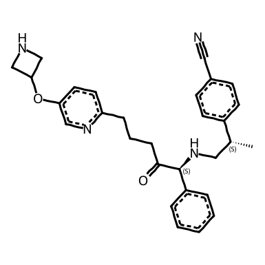 C[C@H](CN[C@H](C(=O)CCCc1ccc(OC2CNC2)cn1)c1ccccc1)c1ccc(C#N)cc1